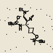 C=N/C(=C\N(C)CC)[C@@H](N[S@+]([O-])C(C)(C)C)C1CC(O[Si](C)(C)C(C)(C)C)C1